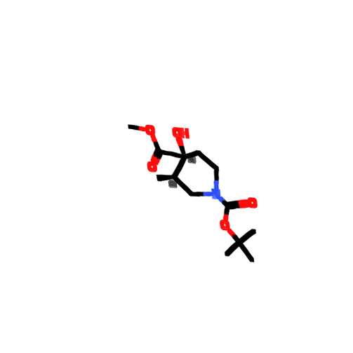 COC(=O)[C@]1(O)CCN(C(=O)OC(C)(C)C)C[C@H]1C